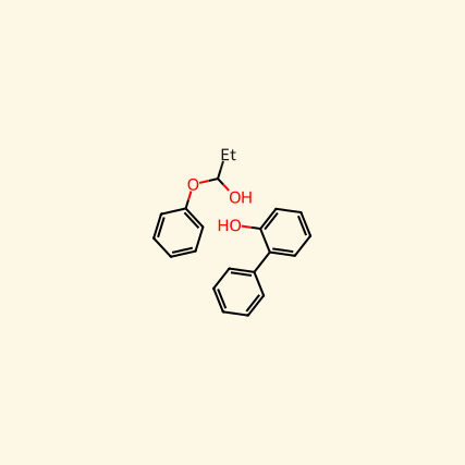 CCC(O)Oc1ccccc1.Oc1ccccc1-c1ccccc1